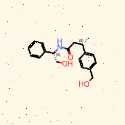 C[C@@H](CC(=O)N[C@H](CO)c1ccccc1)c1ccc(CO)cc1